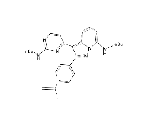 C=C(C)c1ccc(-c2nn3c(NCCCC)cccc3c2-c2ccnc(NCCCC)n2)cc1